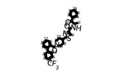 CC(NC(=O)c1csc(C2CCN(C(=O)c3ccccc3-c3ccc(C(F)(F)F)cc3)CC2)n1)C(=O)c1ccccc1